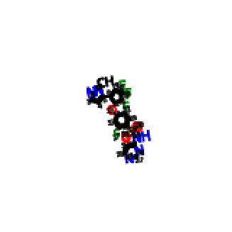 Cn1nccc1[C@H]1CC(F)(F)C[C@@H]1Oc1cc(F)c(S(=O)(=O)Nc2ccncn2)cc1F